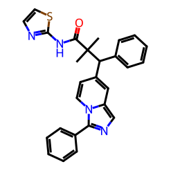 CC(C)(C(=O)Nc1nccs1)C(c1ccccc1)c1ccn2c(-c3ccccc3)ncc2c1